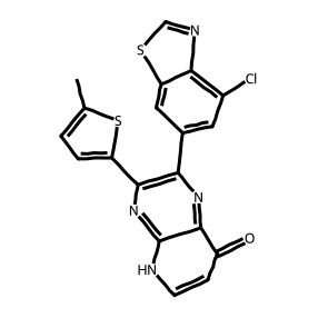 Cc1ccc(-c2nc3[nH]ccc(=O)c3nc2-c2cc(Cl)c3ncsc3c2)s1